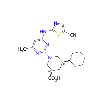 Cc1cc(Nc2ncc(C#N)s2)nc(N2C[C@H](C(=O)O)C[C@H](C3CCCCC3)C2)n1